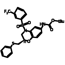 CC(C)(C)OC(=O)Nc1ccc2c(c1)N(S(=O)(=O)c1cccc(C(F)(F)F)c1)C[C@H](CSc1ccccc1)O2